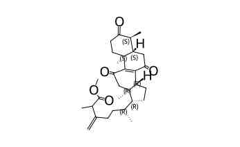 C=C(CC[C@@H](C)[C@H]1CC[C@H]2C3=C(C(=O)C[C@]12C)[C@@]1(C)CCC(=O)[C@@H](C)[C@@H]1CC3=O)C(C)C(=O)OC